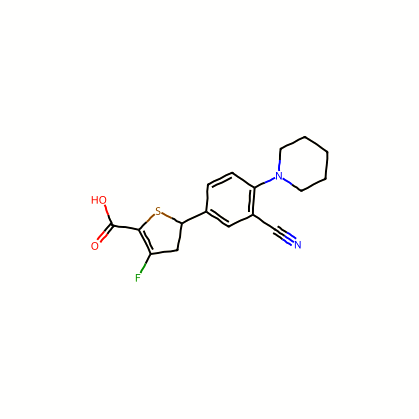 N#Cc1cc(C2CC(F)=C(C(=O)O)S2)ccc1N1CCCCC1